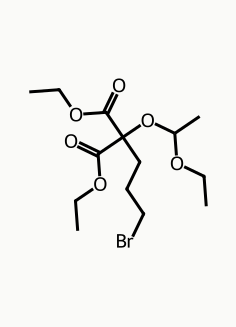 CCOC(=O)C(CCCBr)(OC(C)OCC)C(=O)OCC